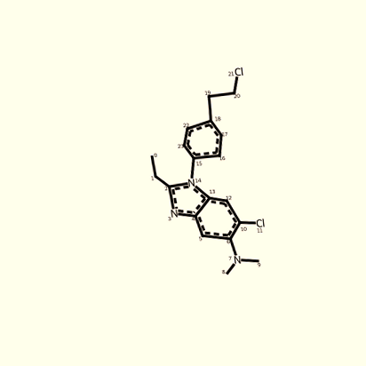 CCc1nc2cc(N(C)C)c(Cl)cc2n1-c1ccc(CCCl)cc1